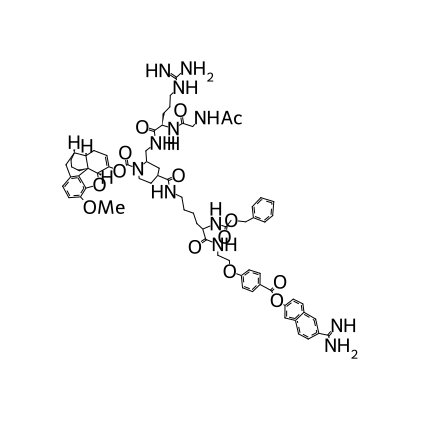 COc1ccc2c3c1O[C@H]1C(OC(=O)N4CCC(C(=O)NCCCCC(NC(=O)OCc5ccccc5)C(=O)NCCOc5ccc(C(=O)Oc6ccc7cc(C(=N)N)ccc7c6)cc5)CC4CNC(=O)[C@@H](CCCNC(=N)N)NC(=O)CNC(C)=O)=CC[C@H]4[C@H](CCC[C@]314)C2